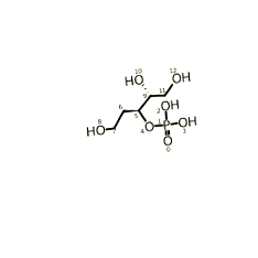 O=P(O)(O)O[C@@H](CCO)[C@H](O)CO